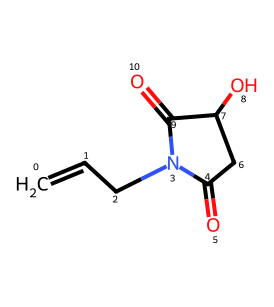 C=CCN1C(=O)CC(O)C1=O